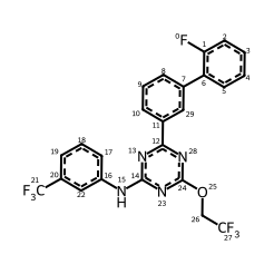 Fc1ccccc1-c1cccc(-c2nc(Nc3cccc(C(F)(F)F)c3)nc(OCC(F)(F)F)n2)c1